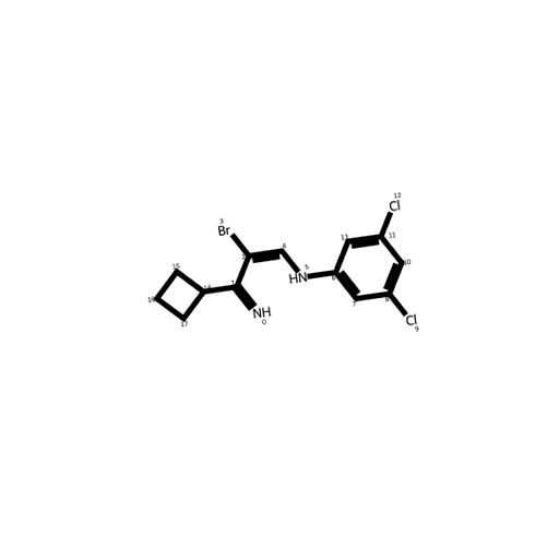 N=C(/C(Br)=C\Nc1cc(Cl)cc(Cl)c1)C1CCC1